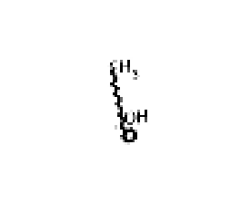 CCCCCCCCCCC(O)[CH]c1ccccc1